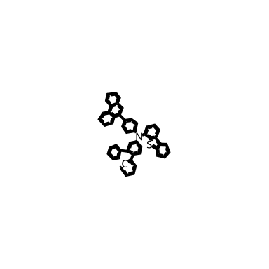 c1ccc(-c2ccc(N(c3ccc(-c4cc5ccccc5c5ccccc45)cc3)c3cccc4c3sc3ccccc34)cc2-c2ccccc2)cc1